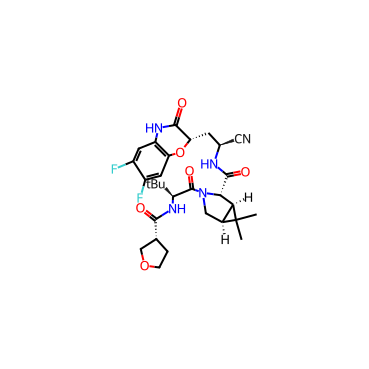 CC(C)(C)[C@H](NC(=O)[C@@H]1CCOC1)C(=O)N1C[C@H]2[C@@H]([C@H]1C(=O)N[C@H](C#N)C[C@@H]1Oc3cc(F)c(F)cc3NC1=O)C2(C)C